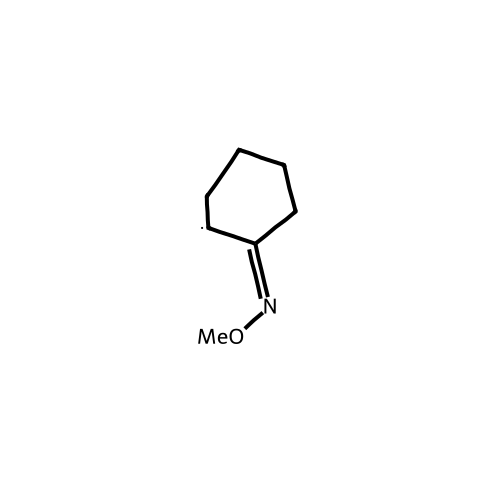 CON=C1[CH]CCCC1